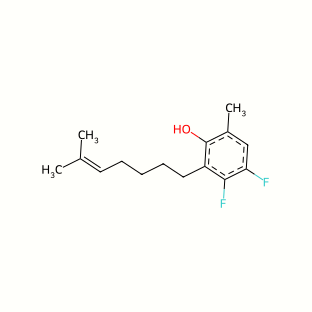 CC(C)=CCCCCc1c(O)c(C)cc(F)c1F